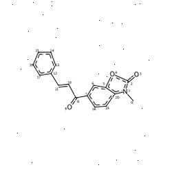 Cn1c(=O)oc2cc(C(=O)C=Cc3ccccc3)ccc21